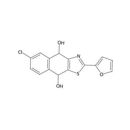 OC1c2cc(Cl)ccc2C(O)c2sc(-c3ccco3)nc21